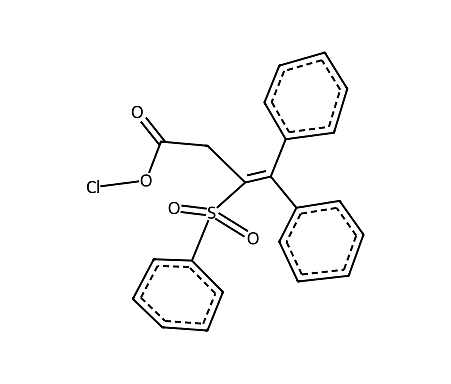 O=C(CC(=C(c1ccccc1)c1ccccc1)S(=O)(=O)c1ccccc1)OCl